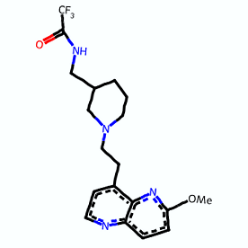 COc1ccc2nccc(CCN3CCCC(CNC(=O)C(F)(F)F)C3)c2n1